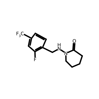 O=C1CCCCN1NCc1ccc(C(F)(F)F)cc1F